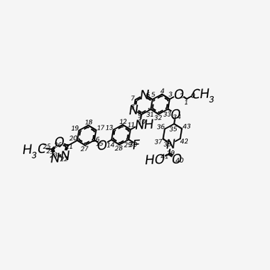 CCOc1cc2ncnc(Nc3ccc(Oc4cccc(-c5nnc(C)o5)c4)cc3F)c2cc1OC1CCN(C(=O)O)CC1